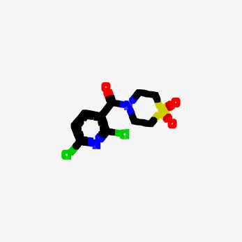 O=C(c1ccc(Cl)nc1Cl)N1CCS(=O)(=O)CC1